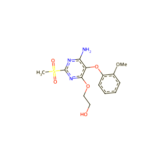 COc1ccccc1Oc1c(N)nc(S(C)(=O)=O)nc1OCCO